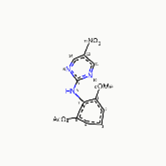 COc1cccc(OC(C)=O)c1Nc1ncc([N+](=O)[O-])cn1